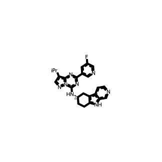 CC(C)c1cnn2c(N[C@H]3CCc4[nH]c5cnccc5c4C3)nc(-c3cncc(F)c3)nc12